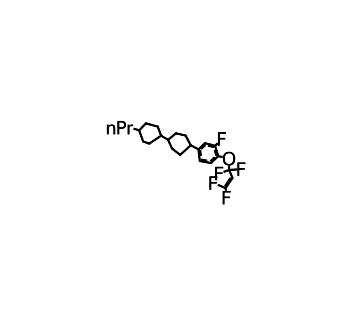 CCCC1CCC(C2CCC(c3ccc(OC(F)(F)C=C(F)F)c(F)c3)CC2)CC1